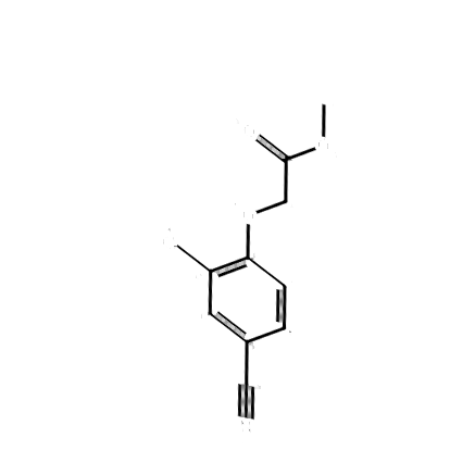 COC(=O)COc1ccc(C#N)cc1Cl